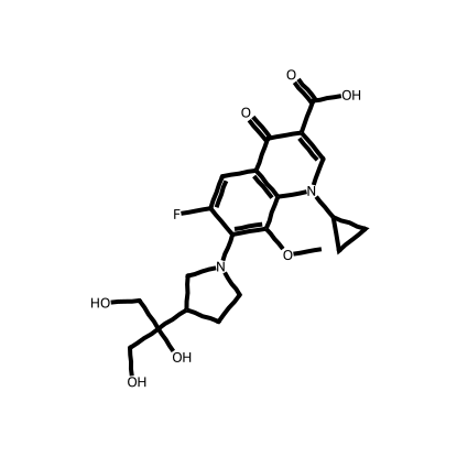 COc1c(N2CCC(C(O)(CO)CO)C2)c(F)cc2c(=O)c(C(=O)O)cn(C3CC3)c12